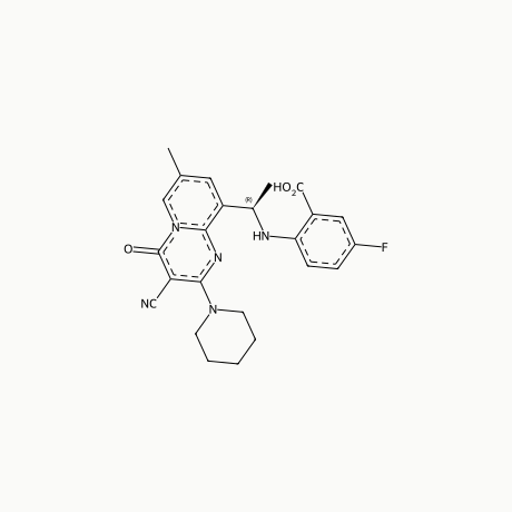 Cc1cc([C@@H](C)Nc2ccc(F)cc2C(=O)O)c2nc(N3CCCCC3)c(C#N)c(=O)n2c1